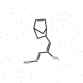 CC(C=NO)=CC1CC2C=CC1C2